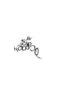 CC#CCOc1ccc(S(=O)(=O)N2CC(CBr)SC(C)(C)[C@]2(C)C(=O)O)cc1